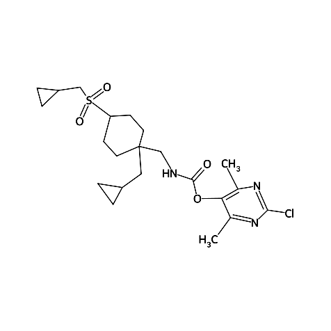 Cc1nc(Cl)nc(C)c1OC(=O)NCC1(CC2CC2)CCC(S(=O)(=O)CC2CC2)CC1